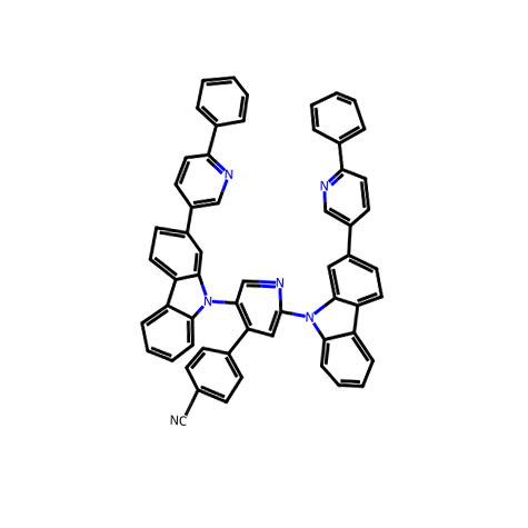 N#Cc1ccc(-c2cc(-n3c4ccccc4c4ccc(-c5ccc(-c6ccccc6)nc5)cc43)ncc2-n2c3ccccc3c3ccc(-c4ccc(-c5ccccc5)nc4)cc32)cc1